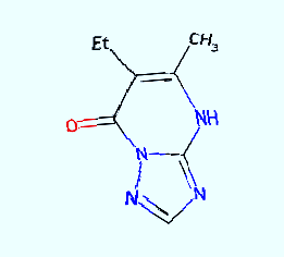 CCc1c(C)[nH]c2ncnn2c1=O